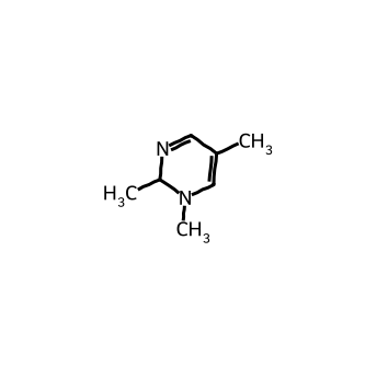 CC1=CN(C)C(C)N=C1